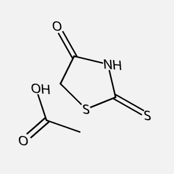 CC(=O)O.O=C1CSC(=S)N1